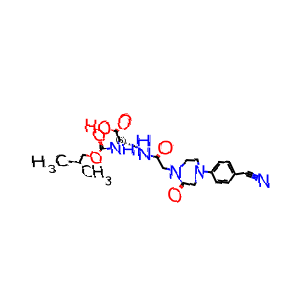 CC(C)COC(=O)N[C@@H](CNC(=O)CN1CCN(c2ccc(C#N)cc2)CC1=O)C(=O)O